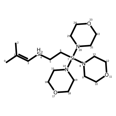 CC(C)=C[SiH2]CC[Si](N1CCOCC1)(N1CCOCC1)N1CCOCC1